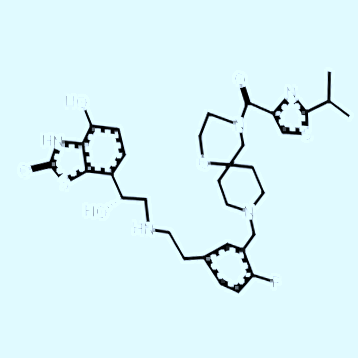 CC(C)c1nc(C(=O)N2CCOC3(CCN(Cc4cc(CCNC[C@H](O)c5ccc(O)c6[nH]c(=O)sc56)ccc4F)CC3)C2)cs1